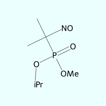 COP(=O)(OC(C)C)C(C)(C)N=O